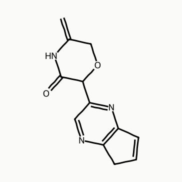 C=C1COC(c2cnc3c(n2)C=CC3)C(=O)N1